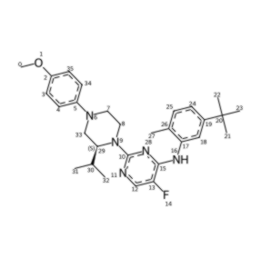 COc1ccc(N2CCN(c3ncc(F)c(Nc4cc(C(C)(C)C)ccc4C)n3)[C@@H](C(C)C)C2)cc1